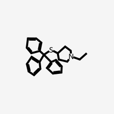 CCN1CCC(SC(c2ccccc2)(c2ccccc2)c2ccccc2)CC1